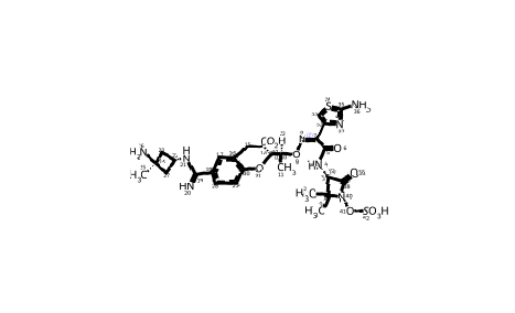 CC1(C)[C@H](NC(=O)/C(=N\O[C@](C)(C(=O)O)[C@H]2CCc3cc(C(=N)N[C@H]4C[C@](C)(N)C4)ccc3O2)c2csc(N)n2)C(=O)N1OS(=O)(=O)O